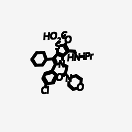 CC(C)NCc1c(OC(=O)O)sc2c(C3CCCCC3)c(-c3ccc(Cl)cc3)n(CC(=O)N3CCOCC3)c12